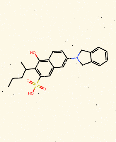 CCCC(C)c1c(S(=O)(=O)O)cc2cc(N3Cc4ccccc4C3)ccc2c1O